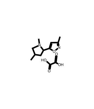 Cc1cc(C2CC(C)CN2C)on1.O=C(O)C(=O)O